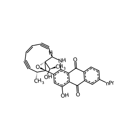 CCCc1ccc2c(c1)C(=O)c1c(O)cc3c(c1C2=O)N[C@H]1C#C/C=C\C#C[C@@H](C)[C@@]32O[C@@]12[C@@H](C)O